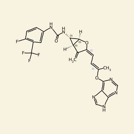 C=C1/C(=C\C=C(/C)Oc2ncnc3[nH]cnc23)O[C@@H]2[C@@H](NC(=O)Nc3ccc(F)c(C(F)(F)F)c3)[C@H]12